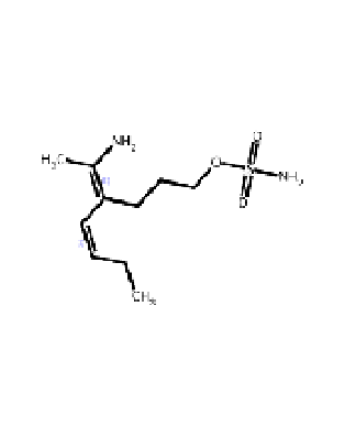 CC/C=C\C(CCCOS(N)(=O)=O)=C(/C)N